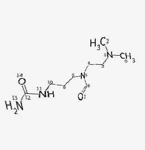 CN(C)CCN(C=O)CCCNC(N)=O